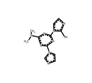 CC(C)c1nccn1-c1nc(N(C)C)nc(-n2ccnc2)n1